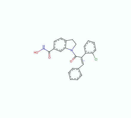 O=C(NO)c1ccc2c(c1)N(C(=O)/C(=C\c1ccccc1)c1ccccc1Cl)CC2